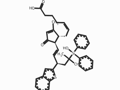 CC1=CC(=O)[C@H](/C=C/[C@@H](CC(C)(C)[Si](O)(c2ccccc2)c2ccccc2)c2cc3ccccc3s2)[C@H]1C/C=C\CCCC(=O)O